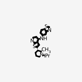 CC(C)N1CCC[C@H](c2cc3c(Nc4ccc5scnc5c4)ccnc3s2)[C@H]1C